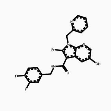 CC(C)c1c(C(=O)NCc2ccc(F)c(F)c2)c2cc(O)cnc2n1Cc1ccccn1